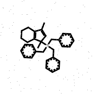 CC1=C[C](C)([Ti]([CH2]c2ccccc2)([CH2]c2ccccc2)[CH2]c2ccccc2)C2=C1CCCC2